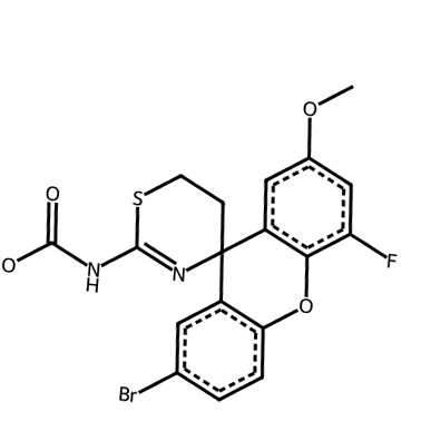 COc1cc(F)c2c(c1)C1(CCSC(NC(=O)O)=N1)c1cc(Br)ccc1O2